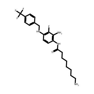 NCCCCCCCC(=O)Nc1ccc(NCc2ccc(C(F)(F)F)cc2)c(F)c1N